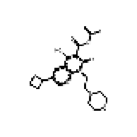 C=C(CC)NC(=O)c1c(O)c2cc(C3CCC3)cnc2n(CCN2CCOCC2)c1=O